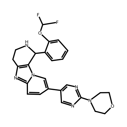 FC(F)Oc1ccccc1C1NCCc2nc3ccc(-c4cnc(N5CCOCC5)nc4)cn3c21